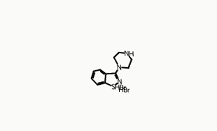 Br.Br.c1ccc2c(N3CCNCC3)nsc2c1